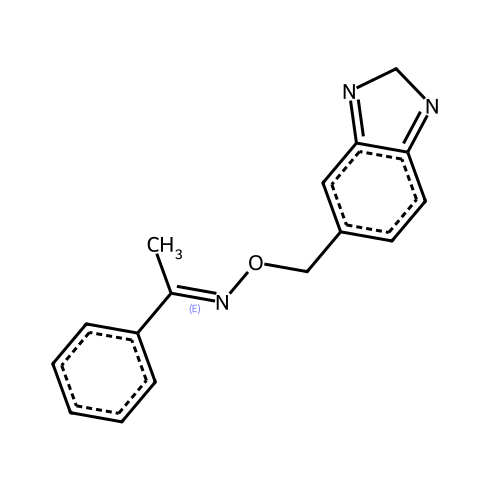 C/C(=N\OCc1ccc2c(c1)=NCN=2)c1ccccc1